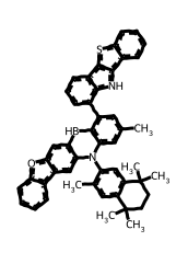 Cc1cc(-c2cccc3c2[nH]c2c4ccccc4sc32)c2c(c1)N(c1cc3c(cc1C)C(C)(C)CCC3(C)C)c1cc3c(cc1B2)oc1ccccc13